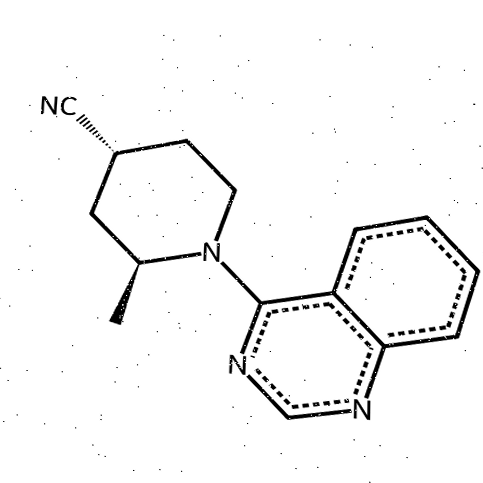 C[C@H]1C[C@H](C#N)CCN1c1ncnc2ccccc12